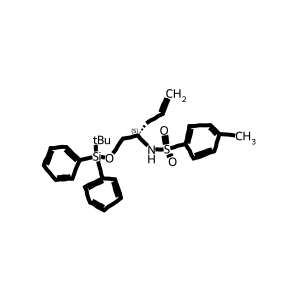 C=CC[C@@H](CO[Si](c1ccccc1)(c1ccccc1)C(C)(C)C)NS(=O)(=O)c1ccc(C)cc1